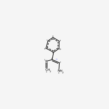 C=N/C(=C\N)c1ccccc1